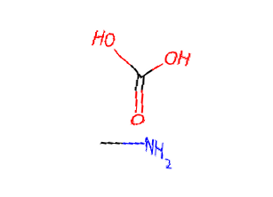 CN.O=C(O)O